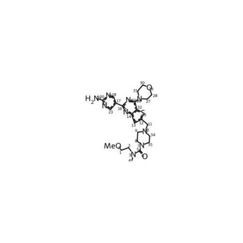 COCCN(C)C(=O)N1CCN(Cc2cc3nc(-c4cnc(N)nc4)nc(N4CCOCC4)c3s2)CC1